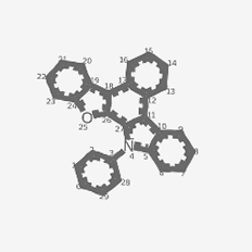 c1ccc(-n2c3ccccc3c3c4ccccc4c4c5ccccc5oc4c32)cc1